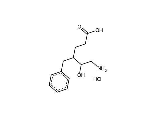 Cl.NCC(O)C(CCC(=O)O)Cc1ccccc1